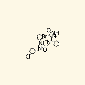 Cn1[nH]c(=O)c(Br)c1C(c1ccccc1)N1CCC2(CC1)C(=O)N(Cc1cccc(Cl)c1)CN2c1ccccc1